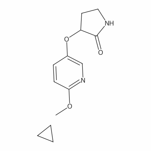 C1CC1.COc1ccc(OC2CCNC2=O)cn1